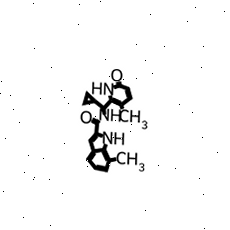 Cc1ccc(=O)[nH]c1C(NC(=O)c1cc2cccc(C)c2[nH]1)C1CC1